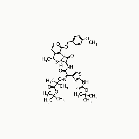 COc1ccc(COC(=O)C2=C(CI)[C@H](C)S[C@@H]3[C@H](NC(=O)/C(=N\OC(C)(C)C(=O)OC(C)(C)C)c4csc(NC(=O)OC(C)(C)C)n4)C(=O)N23)cc1